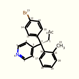 CC(=O)C[C@](c1ccncc1)(c1ccc(Br)cc1)c1ccccc1C